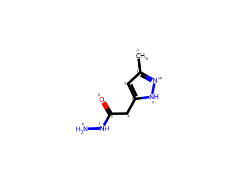 Cc1cc(CC(=O)NN)[nH]n1